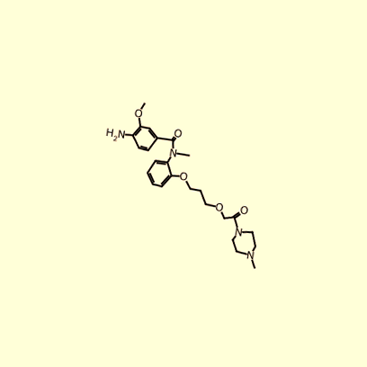 COc1cc(C(=O)N(C)c2ccccc2OCCCOCC(=O)N2CCN(C)CC2)ccc1N